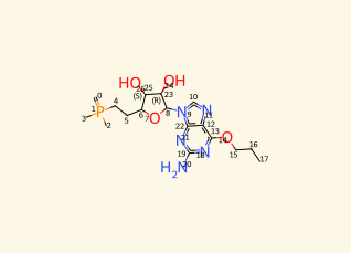 C=P(C)(C)CCC1OC(n2cnc3c(OCCC)nc(N)nc32)[C@H](O)[C@@H]1O